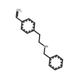 C=Cc1ccc(CCNCc2ccccc2)cc1